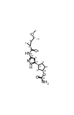 CO[C@H](C)[C@H]1C[C@@H]1C(=O)Nc1cc([C@H]2CC[C@@H](OC(N)=O)C2)[nH]n1